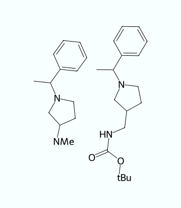 CC(c1ccccc1)N1CCC(CNC(=O)OC(C)(C)C)C1.CNC1CCN(C(C)c2ccccc2)C1